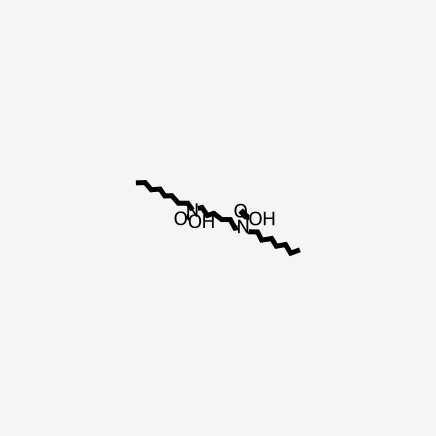 CCCCCCCCN(CCCCCCN(CCCCCCCC)C(=O)O)C(=O)O